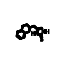 S=c1[nH]cc(CC2CCc3ccccc3C2)[nH]1